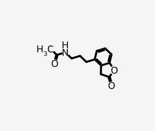 CC(=O)NCCCc1cccc2c1CC(=O)O2